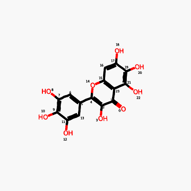 O=c1c(O)c(-c2cc(O)c(O)c(O)c2)oc2cc(O)c(O)c(O)c12